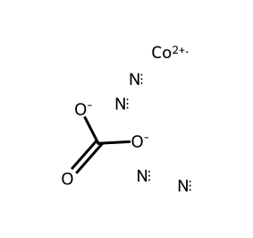 O=C([O-])[O-].[Co+2].[N].[N].[N].[N]